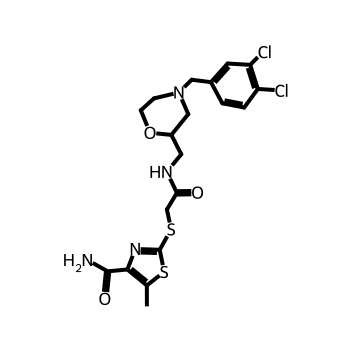 Cc1sc(SCC(=O)NCC2CN(Cc3ccc(Cl)c(Cl)c3)CCO2)nc1C(N)=O